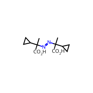 CC(N=NC(C)(C(=O)O)C1CC1)(C(=O)O)C1CC1